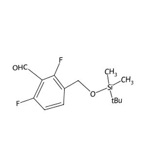 CC(C)(C)[Si](C)(C)OCc1ccc(F)c(C=O)c1F